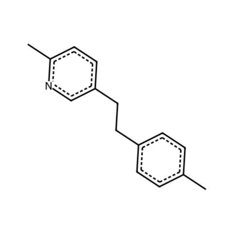 Cc1ccc(CCc2ccc(C)nc2)cc1